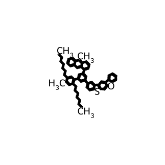 CCCCCCCCc1cc(-c2cc(-c3ccc4sc5cc6oc7ccccc7c6cc5c4c3)cc(-c3cccc4c(C)c5ccccc5cc34)c2)c(CCCCCCCC)cc1C